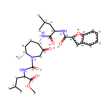 COC(=O)C(CC(C)C)NC(=O)N1CC(=O)[C@@H](NC(=O)C(CC(C)C)NC(=O)c2cc3ccccc3o2)CC[C@H]1C